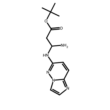 CC(C)(C)OC(=O)CC(N)Nc1ccc2nccn2n1